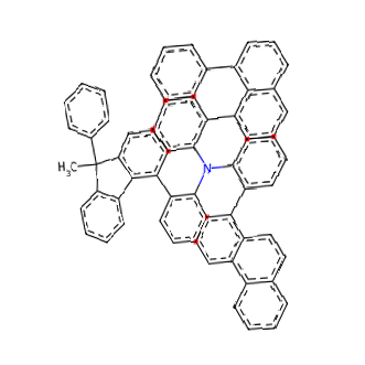 CC1(c2ccccc2)c2ccccc2-c2c(-c3ccccc3N(c3ccccc3-c3cccc4c3ccc3ccccc34)c3ccccc3-c3cccc4cccc(-c5ccccc5)c34)cccc21